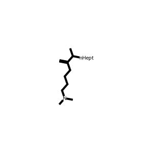 C=C(CCCCN(C)C)C(C)CCCCCCC